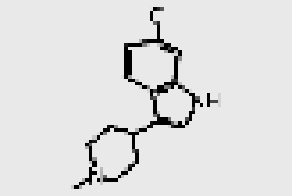 CN1CCC(c2c[nH]c3cc(Cl)ccc23)CC1